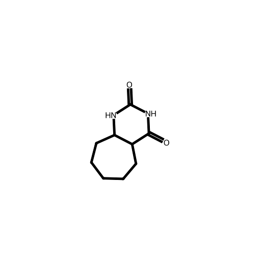 O=C1NC(=O)C2CCCCCC2N1